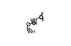 C[C@H]1CN(CC2=CC(c3ccnc(NCCc4cc(F)cc(F)c4)n3)=CCC2)CCN1